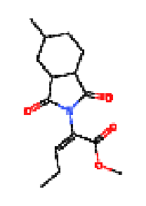 CCC=C(C(=O)OC)N1C(=O)C2CCC(C)CC2C1=O